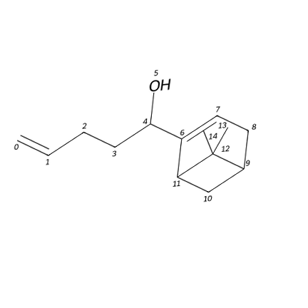 C=CCCC(O)C1=CCC2CC1C2(C)C